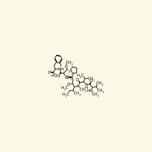 CCC(C)C(C(CC(=O)N1CCC[C@H]1C(OC)C(C)C(=O)NC(Cc1ccccc1F)C(=O)O)OC)N(C)C(=O)C(NC(=O)C(NC)C(C)C)C(C)C